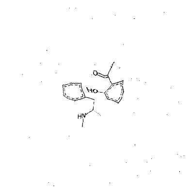 CC(=O)c1ccccc1O.CN[C@@H](C)Cc1ccccc1